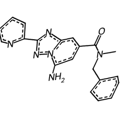 CN(Cc1ccccc1)C(=O)c1cc(N)n2nc(-c3ccccn3)nc2c1